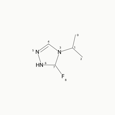 CC(C)N1C=NNC1F